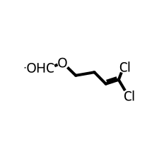 O=[C]OCCC=C(Cl)Cl